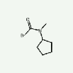 CN(C(=O)Br)C1CCCC1